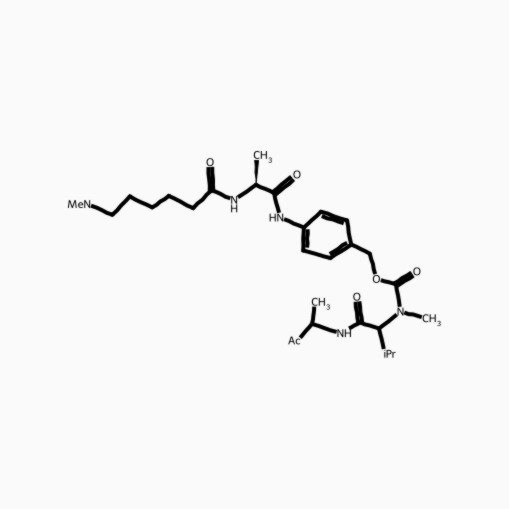 CNCCCCCC(=O)N[C@@H](C)C(=O)Nc1ccc(COC(=O)N(C)C(C(=O)NC(C)C(C)=O)C(C)C)cc1